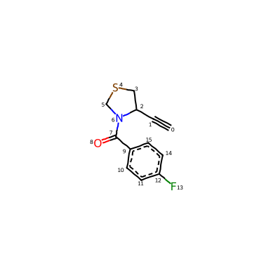 C#CC1CSCN1C(=O)c1ccc(F)cc1